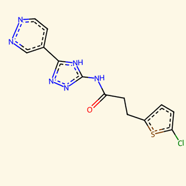 O=C(CCc1ccc(Cl)s1)Nc1nnc(-c2ccnnc2)[nH]1